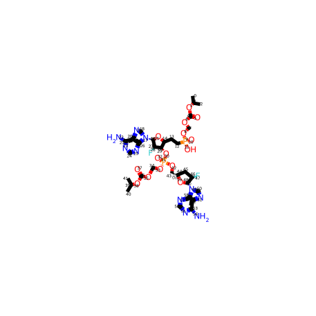 CC(C)OC(=O)OCOP(=O)(O)CCC1O[C@@H](n2cnc3c(N)ncnc32)[C@H](F)[C@@H]1OP(=O)(OCOC(=O)OC(C)C)OC[C@@H]1C[C@@H](F)[C@H](n2cnc3c(N)ncnc32)O1